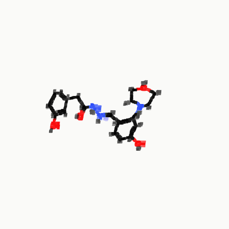 O=C(Cc1cccc(O)c1)N/N=C/c1ccc(O)cc1N1CCOCC1